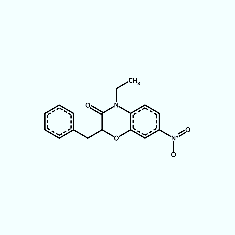 CCN1C(=O)C(Cc2ccccc2)Oc2cc([N+](=O)[O-])ccc21